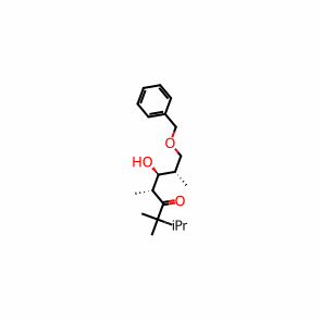 CC(C)C(C)(C)C(=O)[C@H](C)[C@@H](O)[C@@H](C)COCc1ccccc1